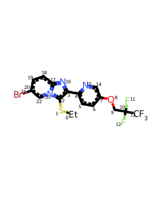 CCSc1c(-c2ccc(OCC(F)(F)C(F)(F)F)cn2)nc2ccc(Br)cn12